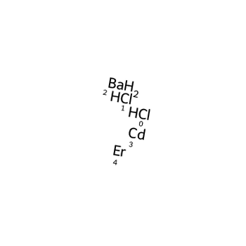 Cl.Cl.[BaH2].[Cd].[Er]